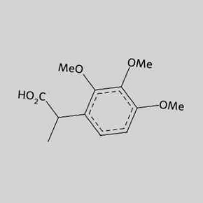 COc1ccc(C(C)C(=O)O)c(OC)c1OC